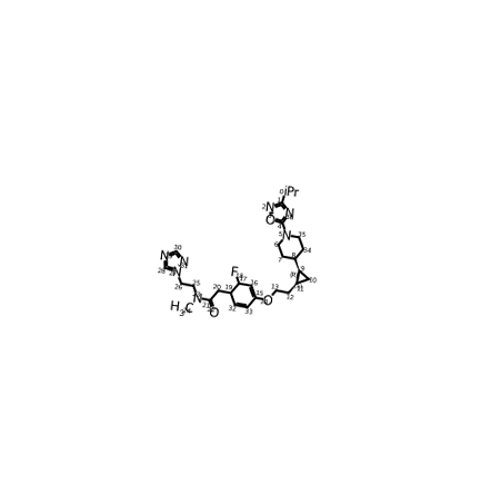 CC(C)c1noc(N2CCC([C@H]3C[C@H]3CCOC3=CC(F)C(CC(=O)N(C)CCn4cncn4)C=C3)CC2)n1